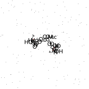 CC(=O)Oc1cc(CC(=O)Oc2ccc3c4c2O[C@H]2C(=O)CC[C@@]5(O)[C@@H](C3)N(CC3CC3)CC[C@]425)cc2cc(CC(=O)Oc3ccc4c5c3O[C@H]3C(=O)CC[C@@]6(O)[C@@H](C4)N(CC4CC4)CC[C@]536)cc(OC(C)=O)c12